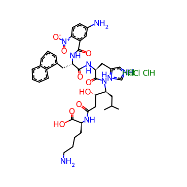 CC(C)C[C@H](NC(=O)[C@H](Cc1c[nH]cn1)NC(=O)[C@H](Cc1cccc2ccccc12)NC(=O)c1cc(N)ccc1[N+](=O)[O-])[C@@H](O)CC(=O)N[C@@H](CCCCN)C(=O)O.Cl.Cl.Cl